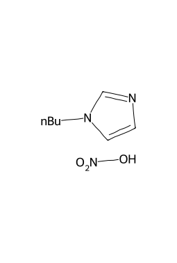 CCCCn1ccnc1.O=[N+]([O-])O